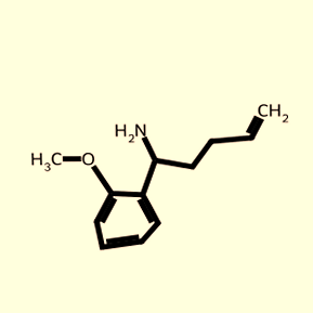 C=CCCC(N)c1ccccc1OC